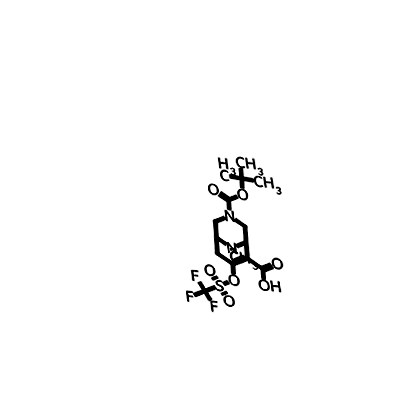 CN1C2CC(OS(=O)(=O)C(F)(F)F)=C(C(=O)O)C1CN(C(=O)OC(C)(C)C)C2